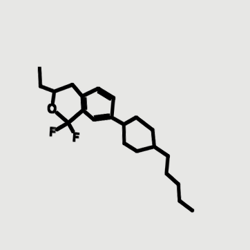 CCCCCC1CCC(c2ccc3c(c2)C(F)(F)OC(CC)C3)CC1